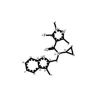 Cc1nn(C)c(F)c1C(=O)N(Cc1sc2ccccc2c1C)C1CC1